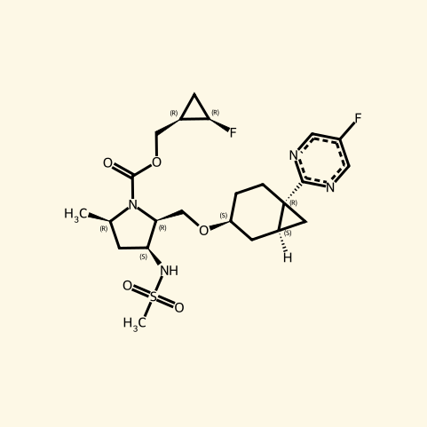 C[C@@H]1C[C@H](NS(C)(=O)=O)[C@H](CO[C@H]2CC[C@@]3(c4ncc(F)cn4)C[C@H]3C2)N1C(=O)OC[C@H]1C[C@H]1F